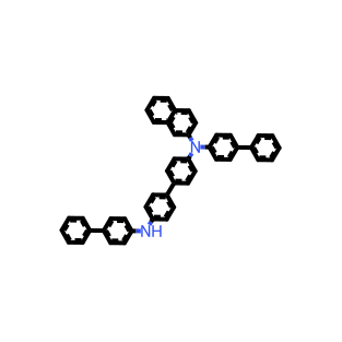 c1ccc(-c2ccc(Nc3ccc(-c4ccc(N(c5ccc(-c6ccccc6)cc5)c5ccc6ccccc6c5)cc4)cc3)cc2)cc1